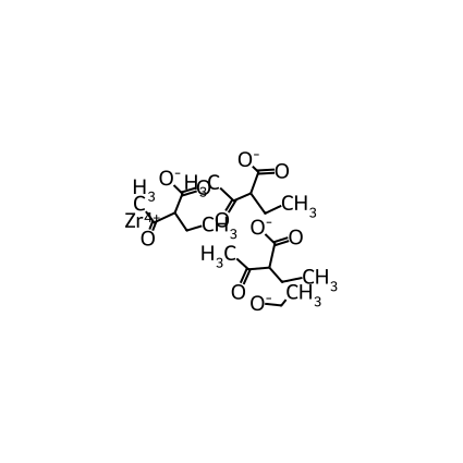 CCC(C(C)=O)C(=O)[O-].CCC(C(C)=O)C(=O)[O-].CCC(C(C)=O)C(=O)[O-].CC[O-].[Zr+4]